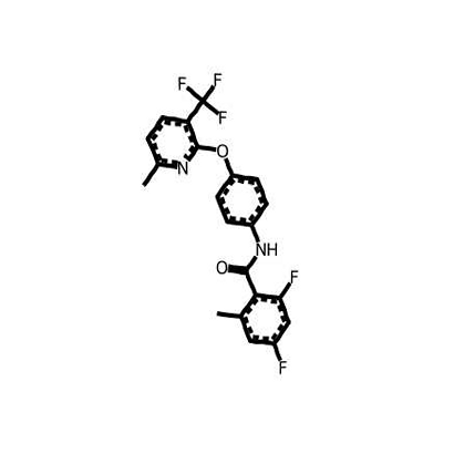 Cc1ccc(C(F)(F)F)c(Oc2ccc(NC(=O)c3c(C)cc(F)cc3F)cc2)n1